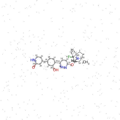 CN1[C@@]2(C)CC[C@]1(C)[C@H](F)[C@@H](Oc1ccc(-c3ccc(-c4cc[nH]c(=O)c4)cc3O)nn1)C2